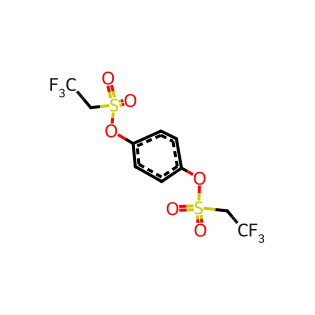 O=S(=O)(CC(F)(F)F)Oc1ccc(OS(=O)(=O)CC(F)(F)F)cc1